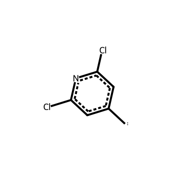 [CH]c1cc(Cl)nc(Cl)c1